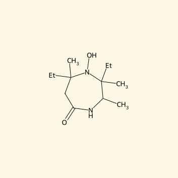 CCC1(C)CC(=O)NC(C)C(C)(CC)N1O